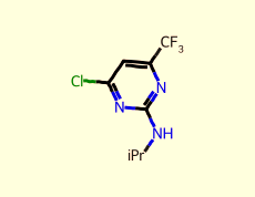 CC(C)Nc1nc(Cl)cc(C(F)(F)F)n1